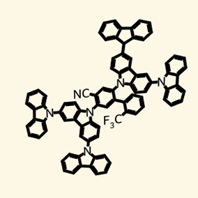 N#Cc1cc(-n2c3ccc(C4c5ccccc5-c5ccccc54)cc3c3cc(-n4c5ccccc5c5ccccc54)ccc32)c(-c2ccccc2C(F)(F)F)cc1-n1c2ccc(-n3c4ccccc4c4ccccc43)cc2c2cc(-n3c4ccccc4c4ccccc43)ccc21